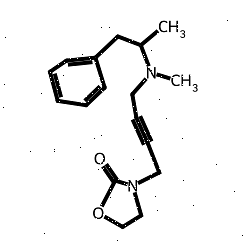 CC(Cc1ccccc1)N(C)CC#CCN1CCOC1=O